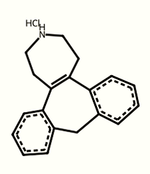 Cl.c1ccc2c(c1)Cc1ccccc1C1=C2CCNCC1